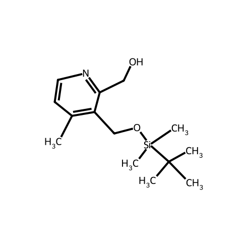 Cc1ccnc(CO)c1CO[Si](C)(C)C(C)(C)C